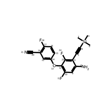 C[Si](C)(C)C#Cc1c(N)cc(F)c(Oc2ccc(F)c(C#N)c2)c1F